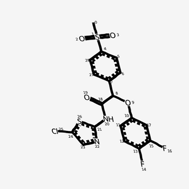 CS(=O)(=O)c1ccc(C(Oc2ccc(F)c(F)c2)C(=O)Nc2ncc(Cl)s2)cc1